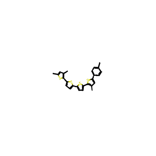 Cc1ccc(-c2cc(C)c(-c3ccc(-c4ccc(-c5sc(C)cc5C)s4)s3)s2)cc1